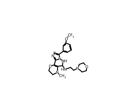 CN1CCOC2=C1C(NCCN1CCOCC1)Nn1c2nnc1-c1cccc(OC(F)(F)F)c1